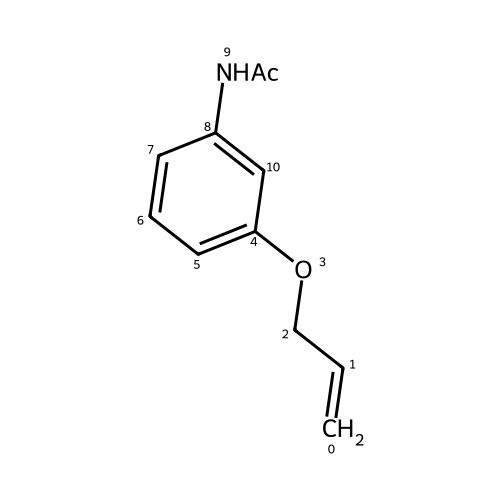 C=CCOc1cccc(NC(C)=O)c1